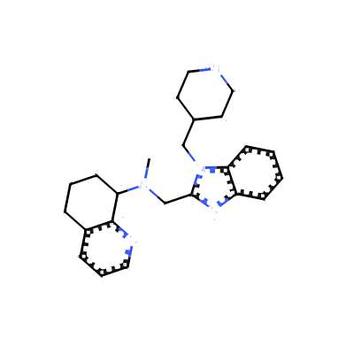 CN(Cc1nc2ccccc2n1CC1CCNCC1)C1CCCc2cccnc21